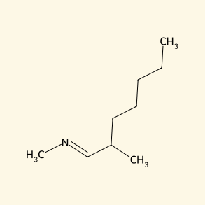 CCCCCC(C)/C=N/C